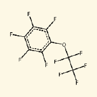 Fc1c(F)c(F)c(OC(F)(F)C(F)(F)F)c(F)c1F